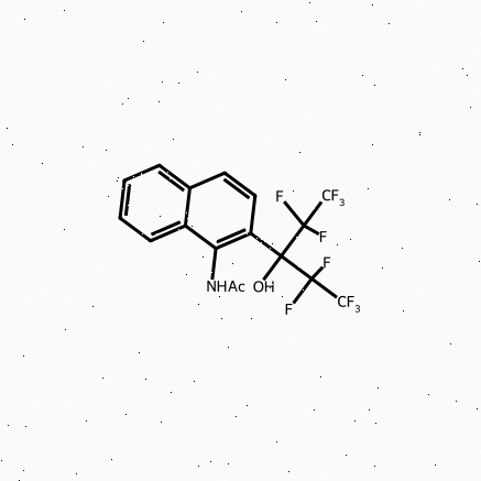 CC(=O)Nc1c(C(O)(C(F)(F)C(F)(F)F)C(F)(F)C(F)(F)F)ccc2ccccc12